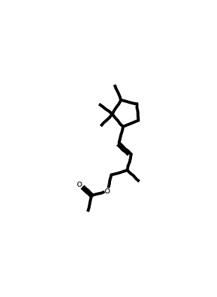 CC(=O)OCC(C)/C=C/C1CCC(C)C1(C)C